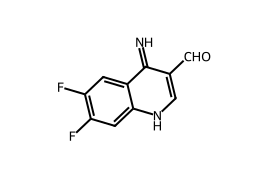 N=c1c(C=O)c[nH]c2cc(F)c(F)cc12